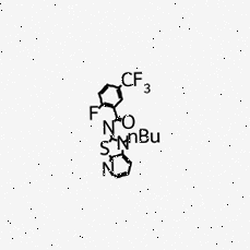 CCCCn1c(=NC(=O)c2cc(C(F)(F)F)ccc2F)sc2ncccc21